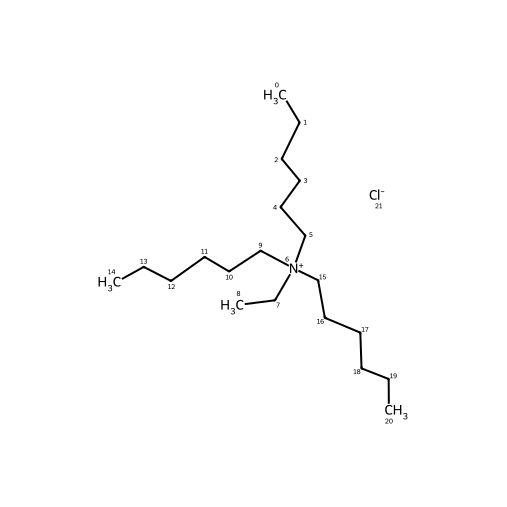 CCCCCC[N+](CC)(CCCCCC)CCCCCC.[Cl-]